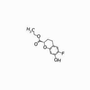 CCOC(=O)[C@H]1CCc2cc(F)c(O)cc2O1